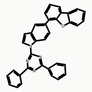 c1ccc(-c2nc(-c3ccccc3)nc(-n3ccc4cc(-c5cccc6c5oc5ccccc56)ccc43)n2)cc1